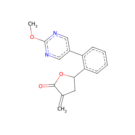 C=C1CC(c2ccccc2-c2cnc(OC)nc2)OC1=O